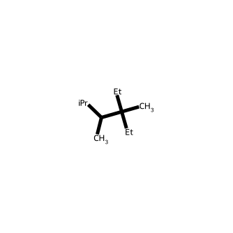 [CH2]C(C)C(C)C(C)(CC)CC